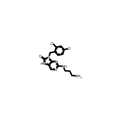 NCCCNc1ncc2[nH]c(=O)n(Cc3ccc(Cl)cc3Cl)c2n1